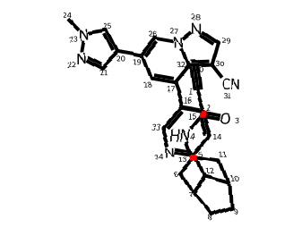 C#CC(=O)NC1CC2CCC(C1)C2c1ccc(-c2cc(-c3cnn(C)c3)cn3ncc(C#N)c23)cn1